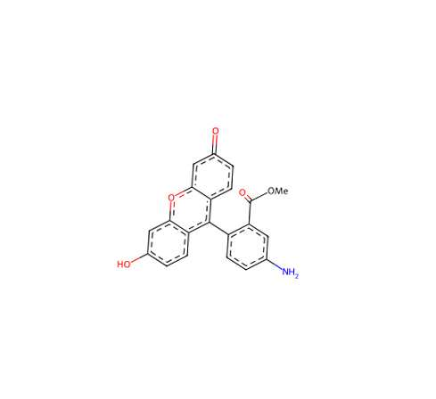 COC(=O)c1cc(N)ccc1-c1c2ccc(=O)cc-2oc2cc(O)ccc12